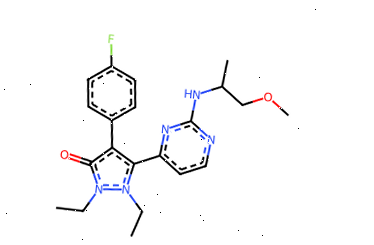 CCn1c(-c2ccnc(NC(C)COC)n2)c(-c2ccc(F)cc2)c(=O)n1CC